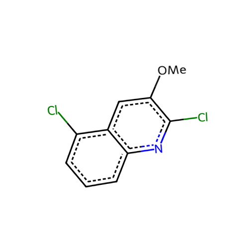 COc1cc2c(Cl)cccc2nc1Cl